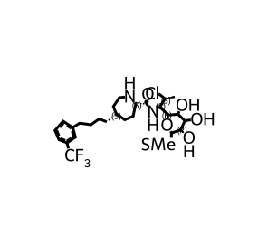 CSC1O[C@H]([C@H](NC(=O)[C@@H]2CC[C@H](CCCCc3cccc(C(F)(F)F)c3)CCN2)[C@H](C)Cl)C(O)C(O)[C@H]1O